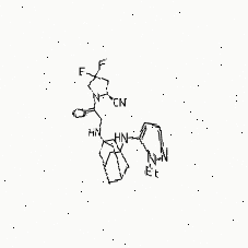 CCn1nccc1NC12CC3CC(CC(NCC(=O)N4CC(F)(F)C[C@H]4C#N)(C3)C1)C2